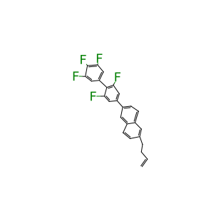 C=CCCc1ccc2cc(-c3cc(F)c(-c4cc(F)c(F)c(F)c4)c(F)c3)ccc2c1